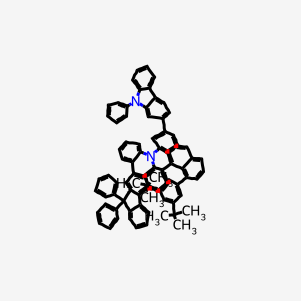 CC(C)(C)c1cc(-c2cccc3cccc(-c4ccccc4N(c4cccc(-c5ccc6c7ccccc7n(-c7ccccc7)c6c5)c4)c4ccccc4-c4ccc5c(c4)C(c4ccccc4)(c4ccccc4)c4ccccc4-5)c23)cc(C(C)(C)C)c1